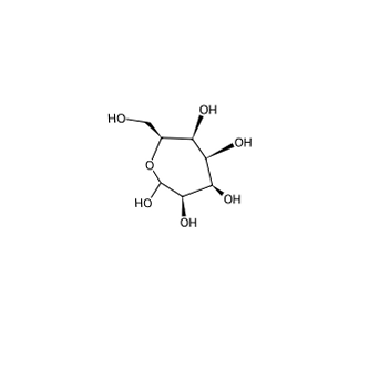 OC[C@@H]1OC(O)[C@H](O)[C@H](O)[C@H](O)[C@@H]1O